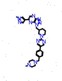 CN1CCN(Cc2ccc(-c3cnc(N4CCCC(Cn5nnc6ncc(-c7cnn(C)c7)nc65)C4)nc3)cc2)CC1